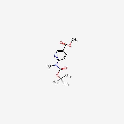 COC(=O)c1ccc(N(C)C(=O)OC(C)(C)C)nc1